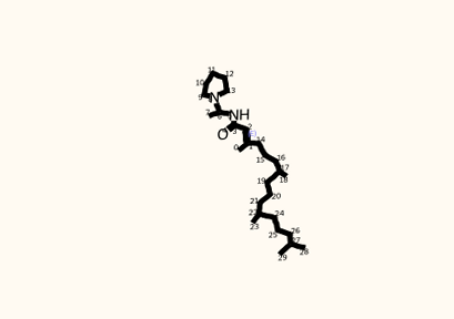 C/C(=C\C(=O)NC(C)N1CCCCC1)CCCC(C)CCCC(C)CCCC(C)C